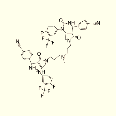 CN(CCCN1CC(Nc2ccc(F)c(C(F)(F)F)c2)=C(C(N)c2ccc(C#N)cc2)C1=O)CCCN1CC2=C(C1=O)C(c1ccc(C#N)cc1)NC(=O)N2c1ccc(F)c(C(F)(F)F)c1